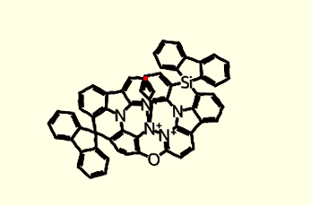 c1ccc2c(c1)-c1ccccc1C21c2ccc3c4c2-n2c5c1cccc5c1ccc[n+](c12)[N+]41c2cccc4c2-n2c5c(cccc5c5ccc([n+]1c52)O3)[Si]41c2ccccc2-c2ccccc21